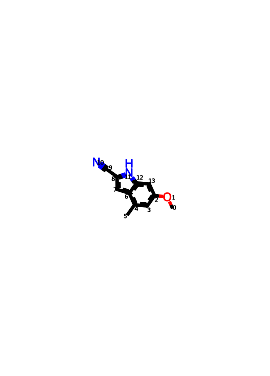 COc1cc(C)c2cc(C#N)[nH]c2c1